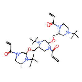 C=CC(=O)N1CC(OCC2CN(C(=O)C=C)C(OCC3CN(C(C)(C)C)CCN3C(=O)C=C)CN2C(C)(C)C)N(C(C)(C)C)[C@H](C)C1